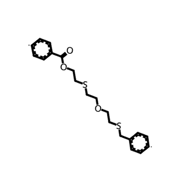 O=C(OCCSCCOCCSCc1cc[c]cc1)c1cc[c]cc1